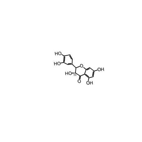 O=C1c2c(O)cc(O)cc2OC(c2ccc(O)c(O)c2)[C@@H]1O